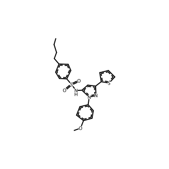 CCCCc1ccc(S(=O)(=O)Nc2cc(-c3cccs3)nn2-c2ccc(OC)cc2)cc1